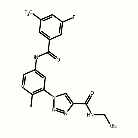 Cc1ncc(NC(=O)c2cc(F)cc(C(F)(F)F)c2)cc1-n1cc(C(=O)NCC(C)(C)C)nn1